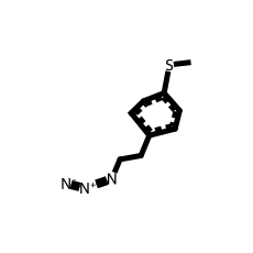 CSc1ccc(CCN=[N+]=[N-])cc1